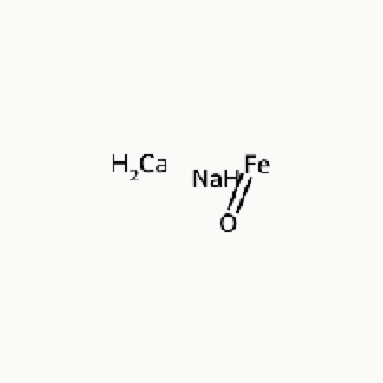 [CaH2].[NaH].[O]=[Fe]